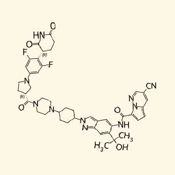 CC(C)(O)c1cc2nn(C3CCC(N4CCN(C(=O)[C@@H]5CCN(c6cc(F)c([C@H]7CCC(=O)NC7=O)c(F)c6)C5)CC4)CC3)cc2cc1NC(=O)c1ccc2cc(C#N)cnn12